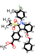 COC(=O)c1ccc(C2c3c(OCc4ccccc4)cccc3N(c3ccc(F)c(C)c3)C2S(=O)(=O)C(C)C)cc1